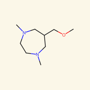 COCC1CN(C)CCN(C)C1